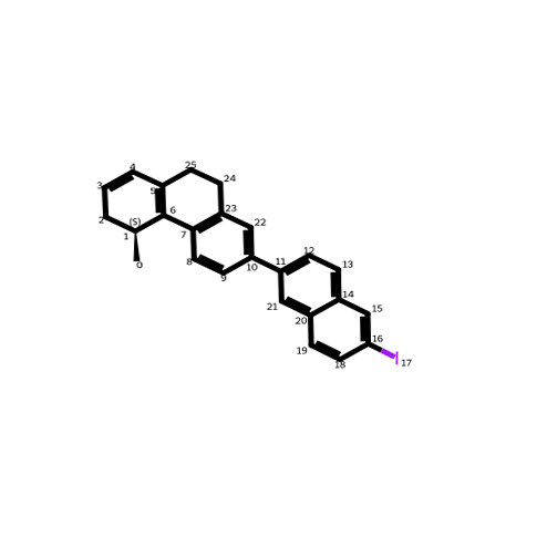 C[C@H]1CC=CC2=C1c1ccc(-c3ccc4cc(I)ccc4c3)cc1CC2